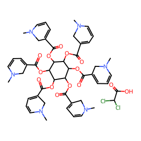 CN1C=CC=C(C(=O)OC2C(OC(=O)C3=CC=CN(C)C3)C(OC(=O)C3=CC=CN(C)C3)C(OC(=O)C3=CC=CN(C)C3)C(OC(=O)C3=CC=CN(C)C3)C2OC(=O)C2=CC=CN(C)C2)C1.O=C(O)C(Cl)Cl